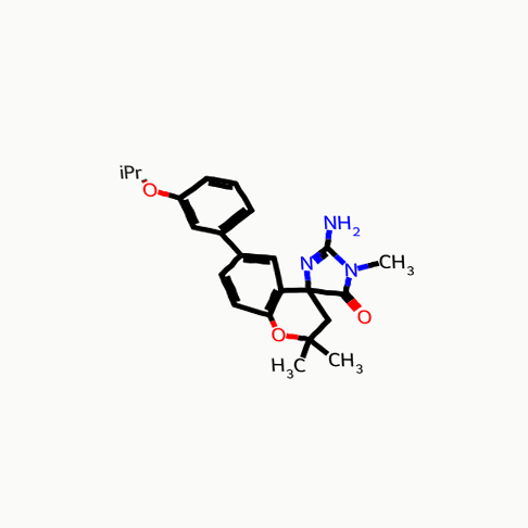 CC(C)Oc1cccc(-c2ccc3c(c2)C2(CC(C)(C)O3)N=C(N)N(C)C2=O)c1